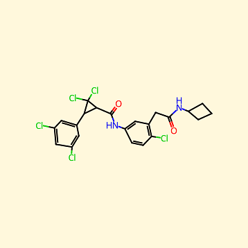 O=C(Cc1cc(NC(=O)C2C(c3cc(Cl)cc(Cl)c3)C2(Cl)Cl)ccc1Cl)NC1CCC1